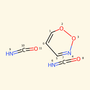 C1=COON=C1.N=C=O.N=C=O